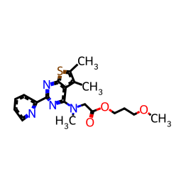 COCCCOC(=O)CN(C)c1nc(-c2ccccn2)nc2sc(C)c(C)c12